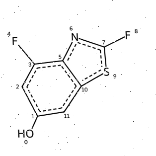 Oc1cc(F)c2nc(F)sc2c1